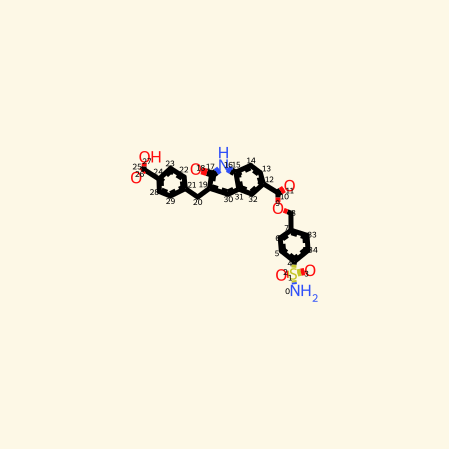 NS(=O)(=O)c1ccc(COC(=O)c2ccc3[nH]c(=O)c(Cc4ccc(C(=O)O)cc4)cc3c2)cc1